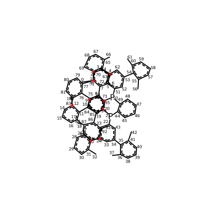 Cc1cccc(C)c1-c1cc(-c2c(C)cccc2C)cc(P(c2cc(-c3c(C)cccc3C)cc(-c3c(C)cccc3C)c2)c2ccccc2P(c2cc(-c3c(C)cccc3C)cc(-c3c(C)cccc3C)c2)c2cc(-c3c(C)cccc3C)cc(-c3c(C)cccc3C)c2)c1